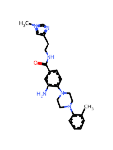 Cc1ccccc1N1CCN(c2ccc(C(=O)NCCc3cn(C)cn3)cc2N)CC1